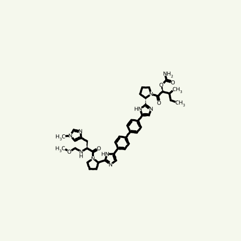 CCC(C)[C@H](OC(N)=O)C(=O)N1CCC[C@H]1c1ncc(-c2ccc(-c3ccc(-c4cnc(C5CCCN5C(=O)[C@H](Cc5cn(C)cn5)NCOC)[nH]4)cc3)cc2)[nH]1